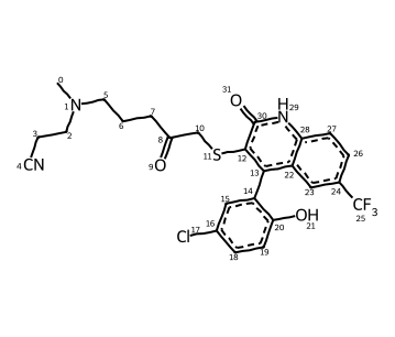 CN(CCC#N)CCCC(=O)CSc1c(-c2cc(Cl)ccc2O)c2cc(C(F)(F)F)ccc2[nH]c1=O